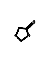 O=C1C[N]C[N]1